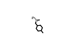 CC1CCC(CN(C)C(C)C)CC1